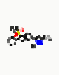 CCn1nc(C(F)(F)F)cc1-c1ccc2c(c1)CC(C1CCCCC1)C2S(=O)(=O)C(F)(F)F